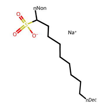 CCCCCCCCCCCCCCCCCCC(CCCCCCCCC)S(=O)(=O)[O-].[Na+]